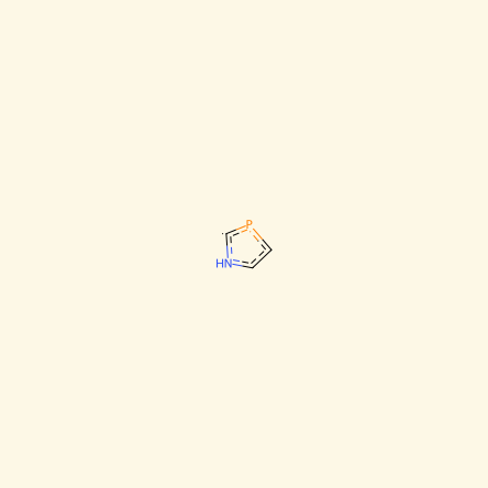 [c]1[nH]ccp1